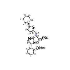 COc1ccccc1-c1nnc2/c(=C\c3ccc(N4CCCCC4)s3)c(C(C)(C)C)nn12